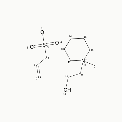 C=CCS(=O)(=O)[O-].C[N+]1(CCO)CCCCC1